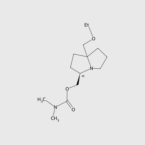 CCOCC12CCCN1[C@@H](COC(=O)N(C)C)CC2